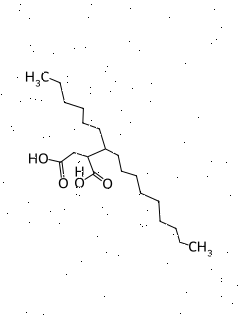 CCCCCCCCCC(CCCCCC)C(CC(=O)O)C(=O)O